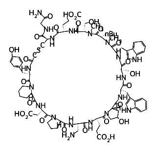 CCCC[C@H]1C(=O)N(C)[C@@H](CO)C(=O)N[C@@H](CCC(=O)O)C(=O)N[C@H](C(=O)NCC(N)=O)CSCC(=O)N[C@@H](Cc2ccc(O)cc2)C(=O)N2CCCC[C@H]2C(=O)N[C@@H](CC(=O)O)C(=O)N2CCC[C@H]2C(=O)N[C@@H](CN)C(=O)N[C@@H](CCC(=O)O)C(=O)N2C[C@H](O)C[C@H]2C(=O)N[C@@H](Cc2c[nH]c3ccccc23)C(=O)N[C@@H](CO)C(=O)N[C@@H](Cc2c[nH]c3ccccc23)C(=O)N1C